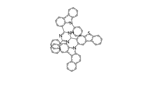 c1ccc(C2=NC(c3cc4sc5ccccc5c4cc3-n3c4cc5ccccc5cc4c4c5ccccc5ccc43)NC(c3cccc4c5ccccc5n(-c5ccccc5)c34)=N2)cc1